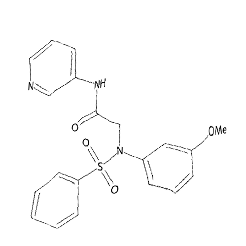 COc1cccc(N(CC(=O)Nc2cccnc2)S(=O)(=O)c2ccccc2)c1